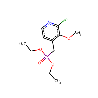 CCOP(=O)(Cc1ccnc(Br)c1OC)OCC